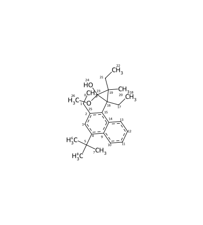 CCc1cc(C(C)(C)C)c2ccccc2c1C1(CC)C(C)(CC)C1(O)OC